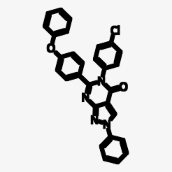 O=c1c2cn(-c3ccccc3)nc2nc(-c2ccc(Oc3ccccc3)cc2)n1-c1ccc(Cl)cc1